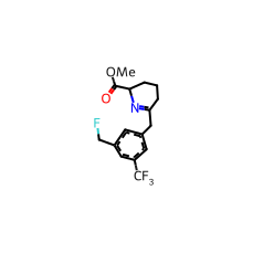 COC(=O)C1CCCC(Cc2cc(CF)cc(C(F)(F)F)c2)=N1